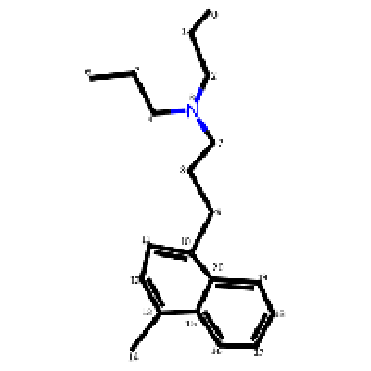 CCCN(CCC)CCCc1ccc(C)c2ccccc12